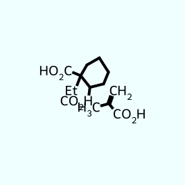 C=C(C)C(=O)O.CCC1(C(=O)O)CCCCC1C(=O)O